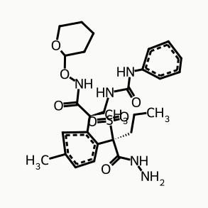 CCC[C@](C(=O)NN)(c1ccc(C)cc1[C@H](CNC(=O)Nc1ccccc1)C(=O)NOC1CCCCO1)S(C)(=O)=O